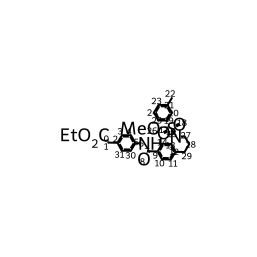 CCOC(=O)Cc1ccc(NC(=O)c2ccc3c(c2)N(S(=O)(=O)c2cc(C)ccc2OC)CCC3)cc1